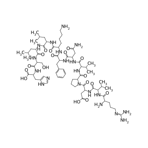 CC(C)CC(NC(=O)C(CC(C)C)NC(=O)C(CCCCN)NC(=O)C(Cc1ccccc1)NC(=O)C(CC(N)=O)NC(=O)C(NC(=O)C1CCCN1C(=O)C(CC(=O)O)NC(=O)C(NC(=O)C(N)CCCN=C(N)N)C(C)C)C(C)C)C(=O)NC(CO)C(=O)NC(Cc1cnc[nH]1)C(=O)O